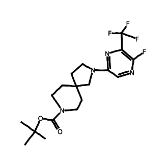 CC(C)(C)OC(=O)N1CCC2(CC1)CCN(c1cnc(F)c(C(F)(F)F)n1)C2